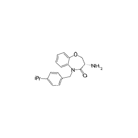 CC(C)c1ccc(CN2C(=O)[C@@H](N)COc3ccccc32)cc1